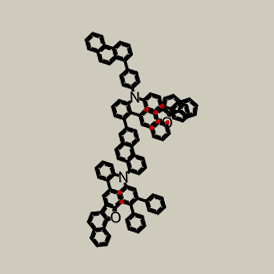 c1ccc(-c2ccc(N(c3ccc(-c4cccc5c4ccc4ccccc45)cc3)c3cccc(-c4ccc5c(ccc6c(N(c7ccc(-c8ccccc8)c(-c8ccccc8)c7)c7ccccc7-c7ccc8oc9c%10ccccc%10ccc9c8c7)cccc65)c4)c3-c3ccc4oc5c6ccccc6ccc5c4c3)cc2-c2ccccc2)cc1